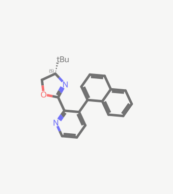 CC(C)(C)[C@H]1COC(c2ncccc2-c2cccc3ccccc23)=N1